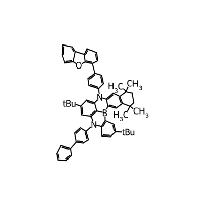 CC(C)(C)c1ccc2c(c1)B1c3cc4c(cc3N(c3ccc(-c5cccc6c5oc5ccccc56)cc3)c3cc(C(C)(C)C)cc(c31)N2c1ccc(-c2ccccc2)cc1)C(C)(C)CCC4(C)C